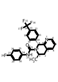 C[C@@H]1Cc2cccnc2[C@@H](c2ccc(C(F)(F)F)cc2)N1C(=O)Nc1ccc(F)cc1